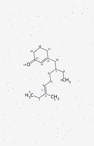 CC/C(C)=C/CCC(CC)CC1=CC(=O)CCC1